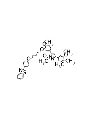 COc1ccc(-c2cc(-c3cc(C)c(C)c(OC)c3)nn2C(C)=O)cc1OCCCCCOc1ccc(-c2nc3ccccc3s2)cc1